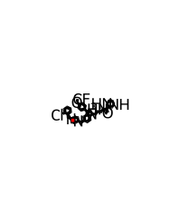 O=C(NCCCn1cc(-c2ccc(OC(F)(F)F)cc2)c2cc(CN3CC4CC3CN4Cc3ccccc3Cl)ccc21)C1CNCCN1